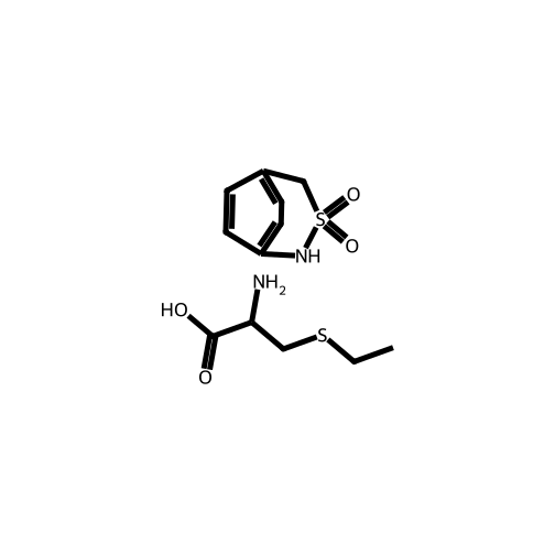 CCSCC(N)C(=O)O.O=S1(=O)Cc2ccc(cc2)N1